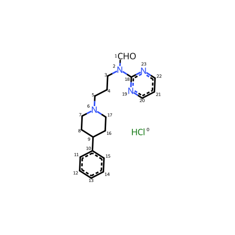 Cl.O=CN(CCCN1CCC(c2ccccc2)CC1)c1ncccn1